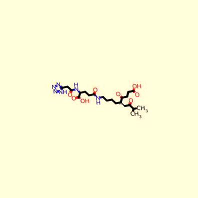 CC(C)C(=O)C[C@@H](CCCCNC(=O)CCC(NC(=O)Cc1nnn[nH]1)C(=O)O)C(=O)CCC(=O)O